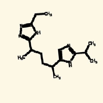 CCc1nnc(C(C)CCC(C)c2cnc(C(C)C)[nH]2)[nH]1